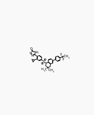 CC1(C)Cc2cc(-c3ccc(C(C)(F)F)cc3)ccc2N(S(=O)(=O)c2ccc(-c3noc(=O)[nH]3)c(C3CC3)c2)C1